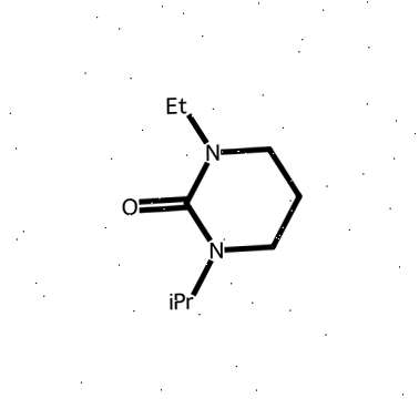 CCN1CCCN(C(C)C)C1=O